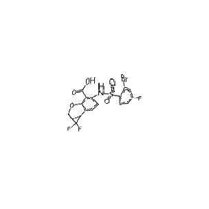 O=C(O)c1c(NS(=O)(=O)c2ccc(F)cc2Br)ccc2c1OCC1C2C1(F)F